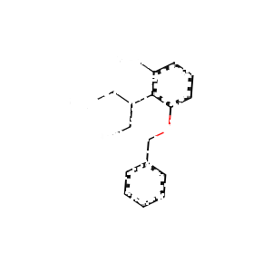 COc1cccc(OCc2ccccc2)c1C(CC(=O)O)CC(C)C